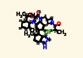 C=C(F)C(=O)N1CC(Cn2c(=O)c(=O)n(-c3c(C)cccc3C(C)C)c3cc(-c4c(C)ccc5[nH]ncc45)c(Cl)cc32)C1